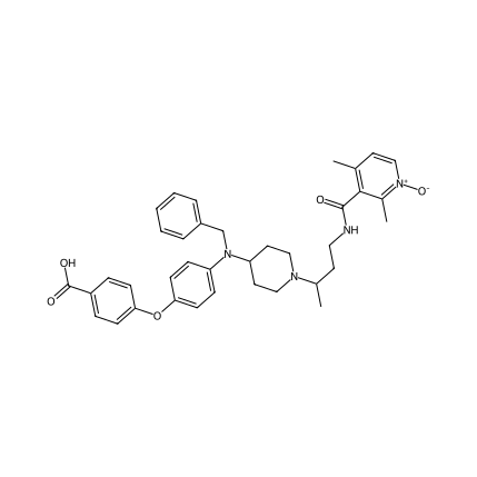 Cc1cc[n+]([O-])c(C)c1C(=O)NCCC(C)N1CCC(N(Cc2ccccc2)c2ccc(Oc3ccc(C(=O)O)cc3)cc2)CC1